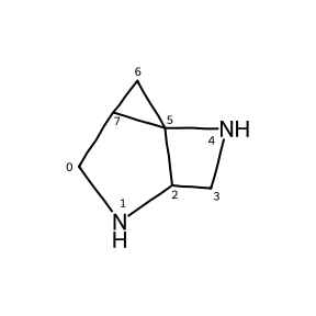 C1NC2CNC23CC13